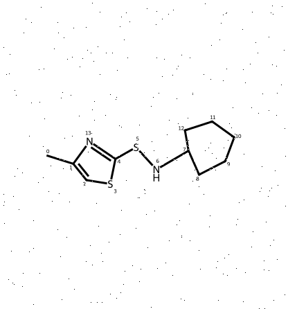 Cc1csc(SNC2CCCCC2)n1